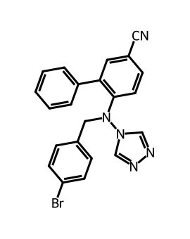 N#Cc1ccc(N(Cc2ccc(Br)cc2)n2cnnc2)c(-c2ccccc2)c1